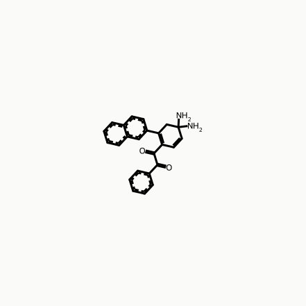 NC1(N)C=CC(C(=O)C(=O)c2ccccc2)=C(c2ccc3ccccc3c2)C1